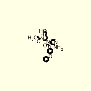 C=CC(=O)NCC(CCCO)n1c(=O)n(-c2ccc(Oc3ccccc3)cc2)c2c(N)nccc21